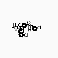 CC1(C)C(=O)N(Cc2c(F)cccc2Cl)c2cc(C(=O)NCc3cccc(Cl)c3)ccc21